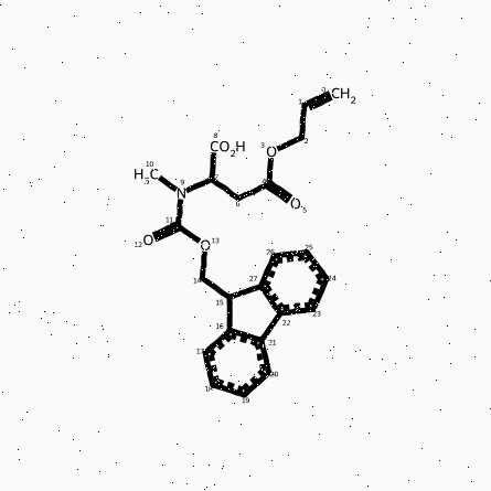 C=CCOC(=O)CC(C(=O)O)N(C)C(=O)OCC1c2ccccc2-c2ccccc21